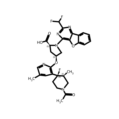 CC(=O)N1CC[C@](F)(c2cc(C)cnc2O[C@H]2C[C@@H](C(=O)O)N(c3nc(C(F)F)nc4c3oc3ccccc34)C2)[C@@H](C)C1